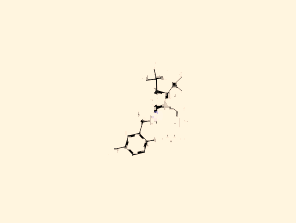 COc1ccc(Cl)cc1C(=O)/N=c1\sc2c(n1CC(C)C)C(C)(C)OC2(C)C